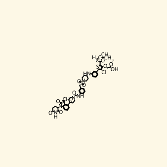 Cn1c(=O)n(C2CCC(=O)NC2=O)c2cccc(C3CCN(C(=O)Nc4cccc(CS(=O)(=O)N5CCC(Nc6cccc(-c7sc(C(=O)OC(C)(C)C)c(OCC(=O)O)c7Cl)c6)CC5)c4)CC3)c21